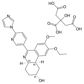 CCOc1cc2c(cc1OC)C(c1ccc(-n3ccnc3)nc1)=N[C@@H]1CC[C@@H](O)C[C@H]21.O=C(O)CC(O)(CC(=O)O)C(=O)O